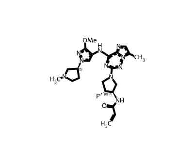 C=CC(=O)N[C@@H]1CN(c2nc(Nc3cn([C@H]4CCN(C)C4)nc3OC)c3ncc(C)n3n2)C[C@H]1F